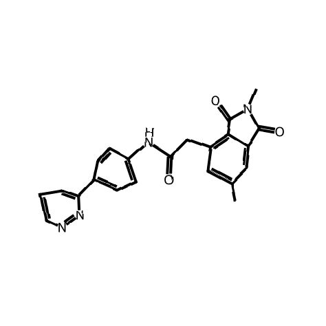 Cc1cc(CC(=O)Nc2ccc(-c3cccnn3)cc2)c2c(c1)C(=O)N(C)C2=O